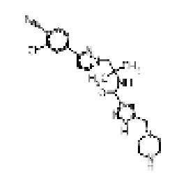 CC(C)(Cn1ccc(-c2ccc(C#N)c(Cl)c2)n1)NC(=O)c1cc(CN2CCNCC2)[nH]n1